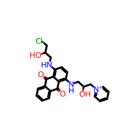 O=C1c2ccccc2C(=O)c2c(NCC(O)C[n+]3ccccc3)ccc(NCC(O)CCl)c21